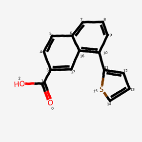 O=C(O)c1ccc2cccc(-c3cccs3)c2c1